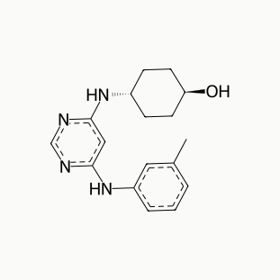 Cc1cccc(Nc2cc(N[C@H]3CC[C@H](O)CC3)ncn2)c1